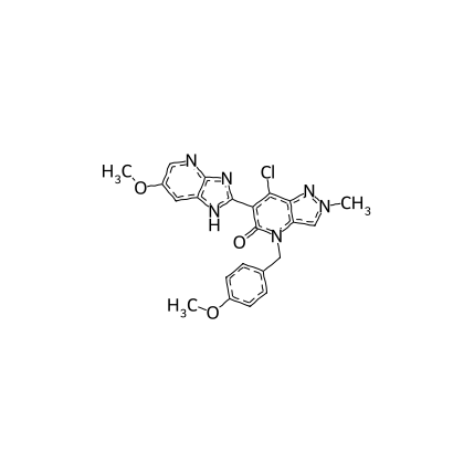 COc1ccc(Cn2c(=O)c(-c3nc4ncc(OC)cc4[nH]3)c(Cl)c3nn(C)cc32)cc1